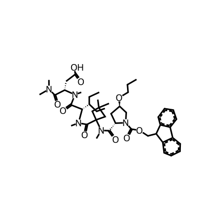 CCCO[C@@H]1C[C@@H](C(=O)N(C)C2(C(=O)N(C)[C@H](C(=O)N(C)[C@@H](CC(=O)O)C(=O)N(C)C)C(CC)CC)CC(C)(C)C2)N(C(=O)OCC2c3ccccc3-c3ccccc32)C1